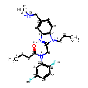 CCCC(=O)N(Cc1nc2cc(CNC)ccc2n1CCC)c1cc(F)ccc1F